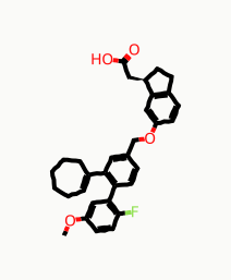 COc1ccc(F)c(-c2ccc(COc3ccc4c(c3)[C@@H](CC(=O)O)CC4)cc2C2=CCCCCC2)c1